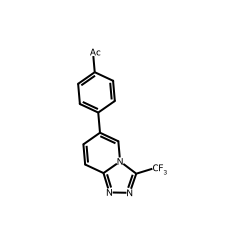 CC(=O)c1ccc(-c2ccc3nnc(C(F)(F)F)n3c2)cc1